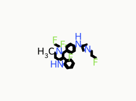 CC1Cc2[nH]c3ccccc3c2C(c2c(F)cc(NC3CN(CCCF)C3)cc2F)N1CCF